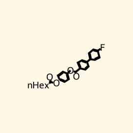 CCCCCCC(=O)Oc1ccc(OC(=O)c2ccc(-c3ccc(F)cc3)cc2)cc1